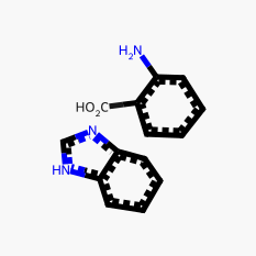 Nc1ccccc1C(=O)O.c1ccc2[nH]cnc2c1